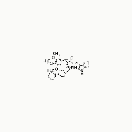 COc1cc(CNC(=O)C(Cc2c[nH]c3ccccc23)NC(=O)CN2CCC(N3CCCCC3)CC2)cc(OC)c1OC